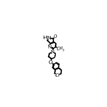 Cc1cc2c(nc1N1CCC(Oc3ccc4c(c3)COCC4)CC1)CNC2=O